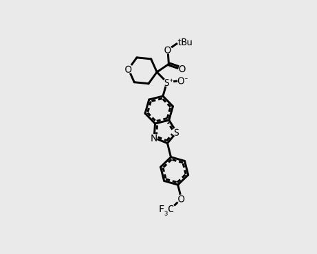 CC(C)(C)OC(=O)C1([S+]([O-])c2ccc3nc(-c4ccc(OC(F)(F)F)cc4)sc3c2)CCOCC1